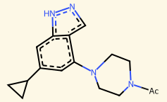 CC(=O)N1CCN(c2cc(C3CC3)cc3[nH]ncc23)CC1